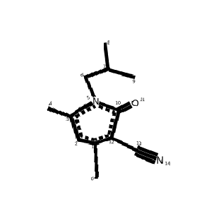 Cc1cc(C)n(CC(C)C)c(=O)c1C#N